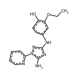 CCOc1cc(Nc2nc(N)n(-c3ccccn3)n2)ccc1O